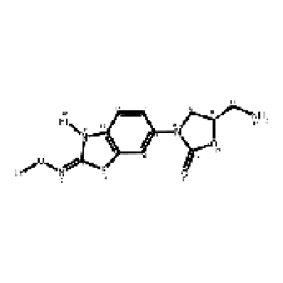 CCON=c1sc2cc(N3C[C@@H](CN)OC3=O)ccc2n1CC